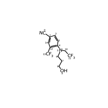 N#Cc1ccc(N(CCCO)CC(F)(F)F)c(C(F)(F)F)c1